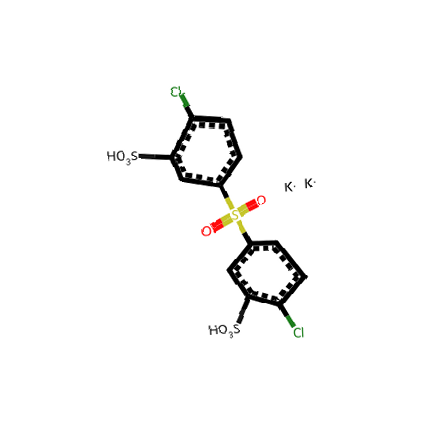 O=S(=O)(O)c1cc(S(=O)(=O)c2ccc(Cl)c(S(=O)(=O)O)c2)ccc1Cl.[K].[K]